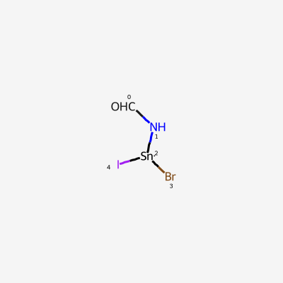 O=C[NH][Sn]([Br])[I]